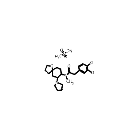 CN(C(=O)Cc1ccc(Cl)c(Cl)c1)C1CCC2(CCCO2)CC1N1CCCC1.CS(=O)(=O)O